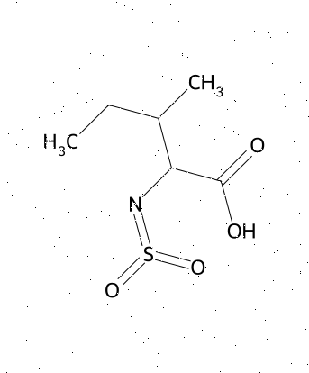 CCC(C)C(N=S(=O)=O)C(=O)O